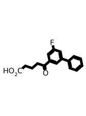 O=C(O)CCCC(=O)c1cc(F)cc(-c2ccccc2)c1